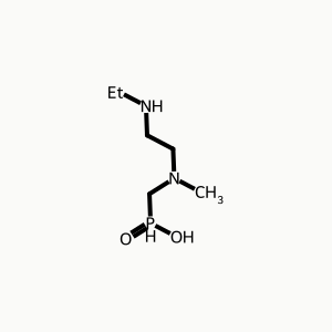 CCNCCN(C)C[PH](=O)O